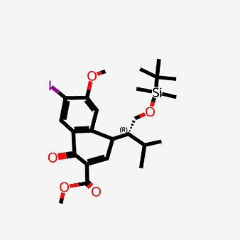 COC(=O)C1=CC([C@H](CO[Si](C)(C)C(C)(C)C)C(C)C)c2cc(OC)c(I)cc2C1=O